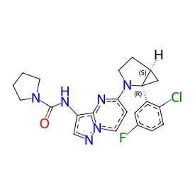 O=C(Nc1cnn2ccc(N3CC[C@H]4C[C@]43c3cc(F)ccc3Cl)nc12)N1CCCC1